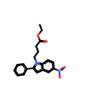 CCOC(=O)CCCn1c(-c2ccccc2)cc2cc([N+](=O)[O-])ccc21